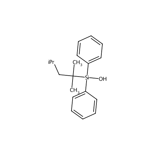 CC(C)CC(C)(C)[Si](O)(c1ccccc1)c1ccccc1